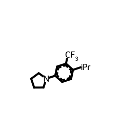 CC(C)c1ccc(N2CCCC2)cc1C(F)(F)F